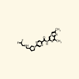 Cc1cn2cc(NC(=O)c3cnc(N4CCC(CNCC(F)F)C4)cn3)nc(C)c2n1